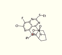 CCSc1nc(N2CC3CCC(C2)N3C(=O)OC(C)(C)C)c2c(OC(C)C)nc(Cl)c(F)c2n1